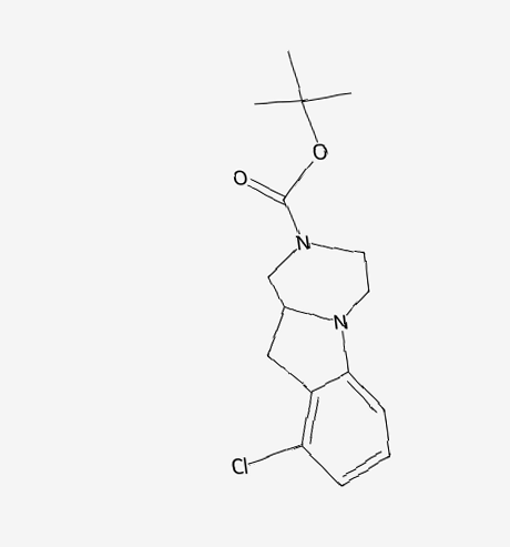 CC(C)(C)OC(=O)N1CCN2c3cccc(Cl)c3CC2C1